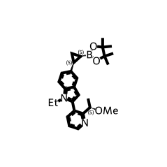 CCn1c(-c2cccnc2[C@H](C)OC)cc2cc([C@H]3C[C@@H]3B3OC(C)(C)C(C)(C)O3)ccc21